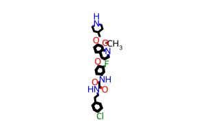 COc1c(OCC2CCNCC2)ccc2c(Oc3ccc(NC(=O)C(=O)NCCc4ccc(Cl)cc4)cc3F)ccnc12